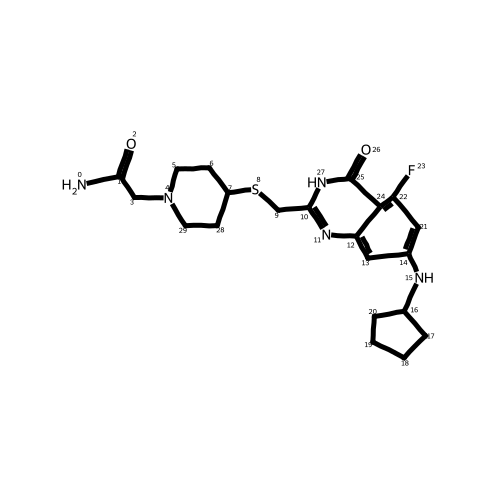 NC(=O)CN1CCC(SCc2nc3cc(NC4CCCC4)cc(F)c3c(=O)[nH]2)CC1